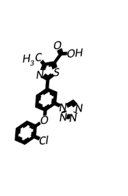 Cc1nc(-c2ccc(Oc3ccccc3Cl)c(-n3cnnn3)c2)sc1C(=O)O